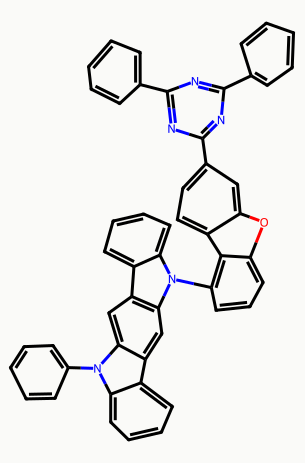 c1ccc(-c2nc(-c3ccccc3)nc(-c3ccc4c(c3)oc3cccc(-n5c6ccccc6c6cc7c(cc65)c5ccccc5n7-c5ccccc5)c34)n2)cc1